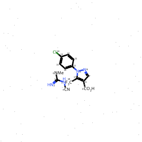 CNC(=N)NC#N.O=C(O)c1cnn(-c2ccc(Cl)cc2)c1C(F)(F)F